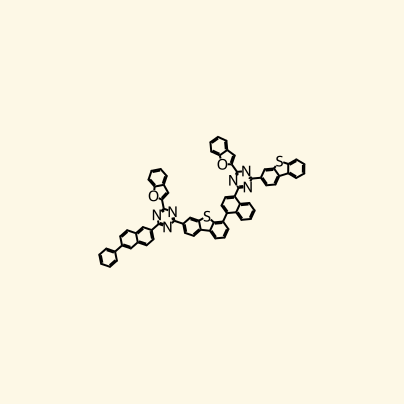 c1ccc(-c2ccc3cc(-c4nc(-c5ccc6c(c5)sc5c(-c7ccc(-c8nc(-c9ccc%10c(c9)sc9ccccc9%10)nc(-c9cc%10ccccc%10o9)n8)c8ccccc78)cccc56)nc(-c5cc6ccccc6o5)n4)ccc3c2)cc1